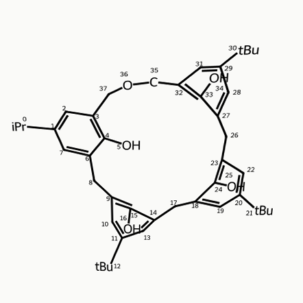 CC(C)c1cc2c(O)c(c1)Cc1cc(C(C)(C)C)cc(c1O)Cc1cc(C(C)(C)C)cc(c1O)Cc1cc(C(C)(C)C)cc(c1O)COC2